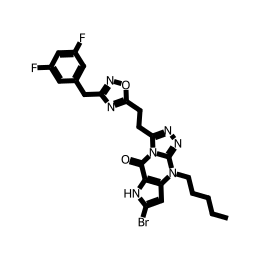 CCCCCn1c2cc(Br)[nH]c2c(=O)n2c(CCc3nc(Cc4cc(F)cc(F)c4)no3)nnc12